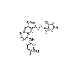 COc1cc2ncnc(Nc3ccc(F)c(Cl)c3)c2cc1OCCC1CC12CNCC2=O